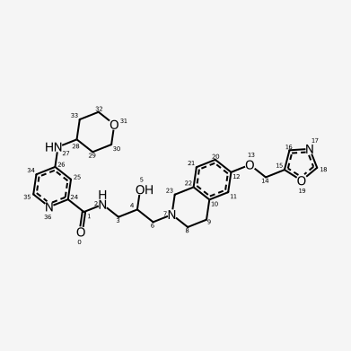 O=C(NCC(O)CN1CCc2cc(OCc3cnco3)ccc2C1)c1cc(NC2CCOCC2)ccn1